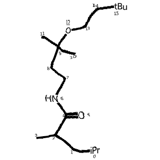 CC(C)CC(C)C(=O)NCCC(C)(C)OCCC(C)(C)C